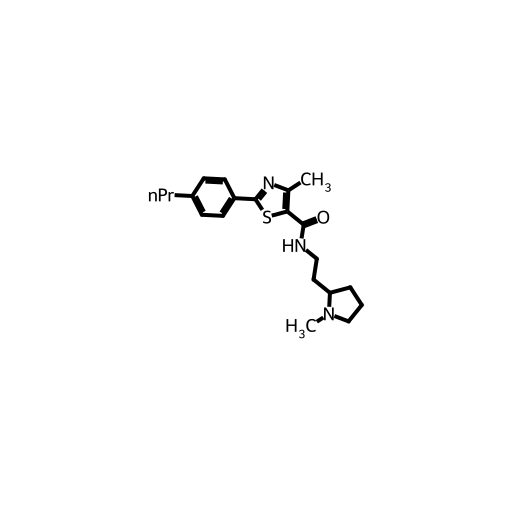 CCCc1ccc(-c2nc(C)c(C(=O)NCCC3CCCN3C)s2)cc1